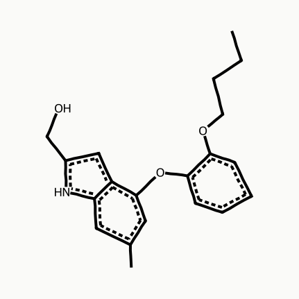 CCCCOc1ccccc1Oc1cc(C)cc2[nH]c(CO)cc12